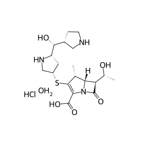 C[C@@H](O)[C@H]1C(=O)N2C(C(=O)O)=C(S[C@@H]3CN[C@H]([C@H](O)[C@@H]4CCNC4)C3)[C@H](C)[C@H]12.Cl.O